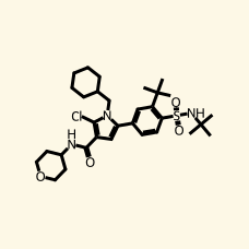 CC(C)(C)NS(=O)(=O)c1ccc(-c2cc(C(=O)NC3CCOCC3)c(Cl)n2CC2CCCCC2)cc1C(C)(C)C